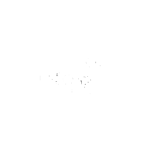 Cc1ccc(C)c(Cc2nc(CCl)nn2-c2ccc(S(N)(=O)=O)cc2F)c1